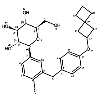 OC[C@H]1O[C@@H](c2ccc(Cl)c(Cc3ccc(OC4CC5(CCC5)C4)cc3)c2)[C@H](O)[C@@H](O)[C@@H]1O